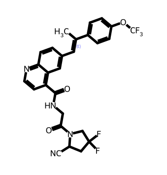 C/C(=C\c1ccc2nccc(C(=O)NCC(=O)N3CC(F)(F)CC3C#N)c2c1)c1ccc(OC(F)(F)F)cc1